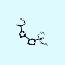 COC(=O)c1ccc(-c2cccc(P(=O)(OC)OC)c2)o1